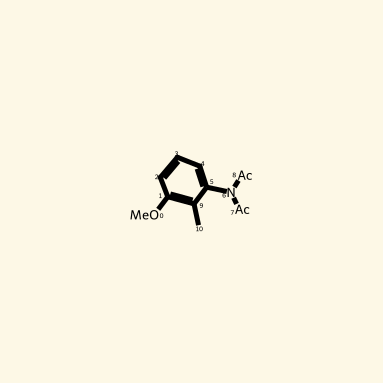 COc1cccc(N(C(C)=O)C(C)=O)c1C